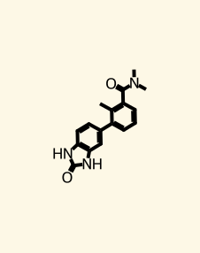 Cc1c(C(=O)N(C)C)cccc1-c1ccc2[nH]c(=O)[nH]c2c1